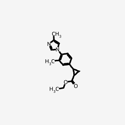 CCOC(=O)C1CC1c1ccc(-n2cnc(C)c2)c(C)c1